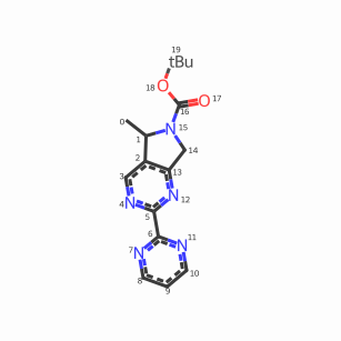 CC1c2cnc(-c3ncccn3)nc2CN1C(=O)OC(C)(C)C